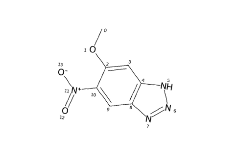 COc1cc2[nH]nnc2cc1[N+](=O)[O-]